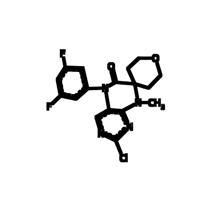 CN1c2nc(Cl)ncc2N(c2cc(F)cc(F)c2)C(=O)C12CCOCC2